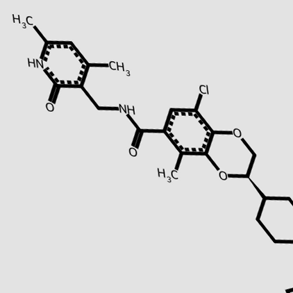 Cc1cc(C)c(CNC(=O)c2cc(Cl)c3c(c2C)O[C@H](C2CCN(CC4COC4)CC2)CO3)c(=O)[nH]1